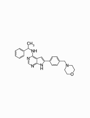 CC(Nc1ncnc2[nH]c(-c3ccc(CN4CCOCC4)cc3)cc12)c1ccccc1